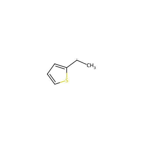 C[CH]c1cccs1